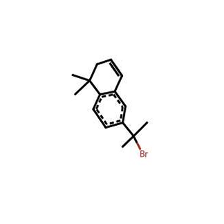 CC(C)(Br)c1ccc2c(c1)C=CCC2(C)C